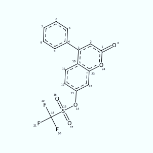 O=c1cc(-c2ccccc2)c2ccc(OS(=O)(=O)C(F)(F)F)cc2o1